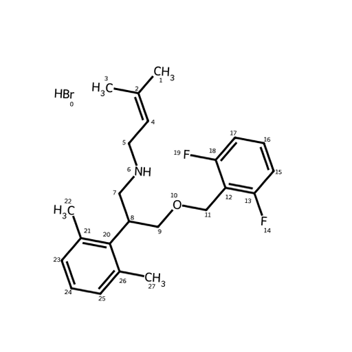 Br.CC(C)=CCNCC(COCc1c(F)cccc1F)c1c(C)cccc1C